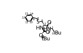 CCC(C)CNC(=O)[C@H](CSCc1ccccc1)NC(=O)OC(C)(C)C